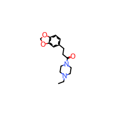 CCN1CCN(C(=O)CCc2ccc3c(c2)OCO3)CC1